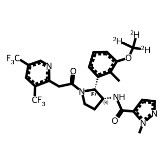 [2H]C([2H])([2H])Oc1cccc([C@@H]2[C@H](NC(=O)c3ccnn3C)CCN2C(=O)Cc2ncc(C(F)(F)F)cc2C(F)(F)F)c1C